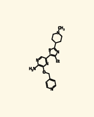 CCc1nc(C2CCN(C)CC2)sc1-c1cnc(N)c(OCc2ccncc2)n1